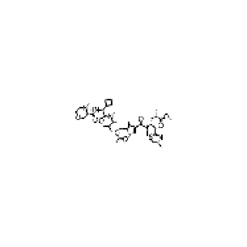 COC(=O)[C@@H](C)C[C@H](Cc1nc(C)cs1)NC(=O)c1csc([C@@H](C[C@H](C(C)C)N(C)C(=O)[C@@H](NC(=O)[C@H]2COCCN2C)C2CCC2)OC(C)=O)n1